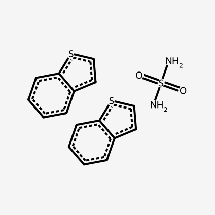 NS(N)(=O)=O.c1ccc2sccc2c1.c1ccc2sccc2c1